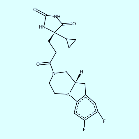 O=C1NC(=O)[C@](CCC(=O)N2CCN3c4cc(F)c(F)cc4C[C@H]3C2)(C2CC2)N1